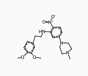 COc1ccc(CCNc2cc(N3CCN(C)CC3)ccc2[N+](=O)[O-])cc1OC